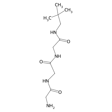 CC(C)(C)CNC(=O)CNC(=O)CNC(=O)CN